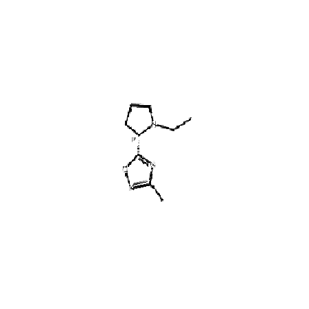 CCN1CCC[C@H]1c1nc(C)no1